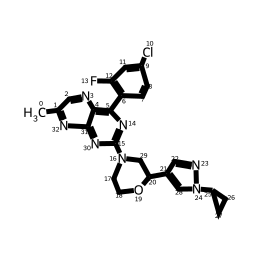 Cc1cnc2c(-c3ccc(Cl)cc3F)nc(N3CCOC(c4cnn(C5CC5)c4)C3)nc2n1